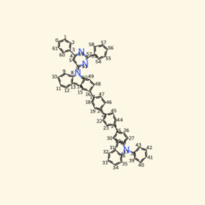 c1ccc(-c2cc(-n3c4ccccc4c4cc(-c5ccc(-c6ccc(-c7ccc8c(c7)c7ccccc7n8-c7ccccc7)cc6)cc5)ccc43)nc(-c3ccccc3)n2)cc1